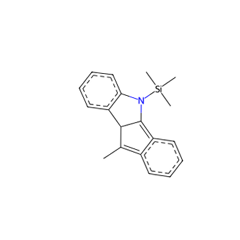 CC1=c2ccccc2=C2C1c1ccccc1N2[Si](C)(C)C